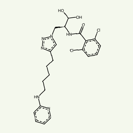 O=C(N[C@@H](Cn1cc(CCCCCNc2ccccn2)nn1)C(O)O)c1c(Cl)cccc1Cl